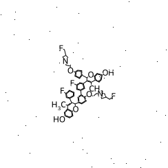 CC1=C(c2cc(F)cc(-c3cc(C4Oc5ccc(O)cc5C(C)=C4c4cccc(F)c4)ccc3OCCN3CC(CF)C3)c2)C(c2ccc(OCCN3CC(CF)C3)cc2)Oc2cc(O)ccc21